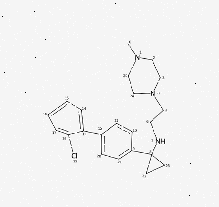 CN1CCN(CCNC2(c3ccc(-c4ccccc4Cl)cc3)CC2)CC1